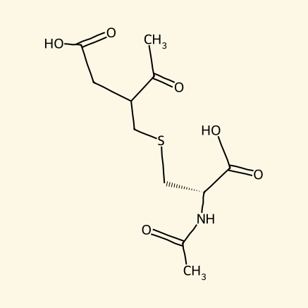 CC(=O)N[C@H](CSCC(CC(=O)O)C(C)=O)C(=O)O